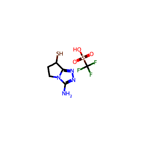 Nc1nnc2n1CCC2S.O=S(=O)(O)C(F)(F)F